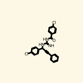 N=C(NC(=O)c1ccc(Cl)cc1)NC(C#Cc1ccccc1)c1ccc(Cl)cc1